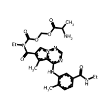 CCNC(=O)c1ccc(C)c(Nc2ncnn3cc(C(=O)N(CC)C(=O)OCOC(=O)C(C)N)c(C)c23)c1